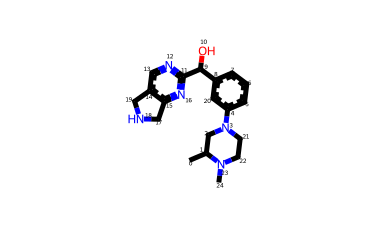 CC1CN(c2cccc(C(O)c3ncc4c(n3)CNC4)c2)CCN1C